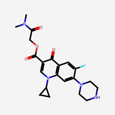 CN(C)C(=O)COC(=O)c1cn(C2CC2)c2cc(N3CCNCC3)c(F)cc2c1=O